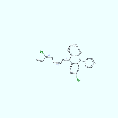 C=C\C(Br)=C/C=C\C=C(\c1ccccc1)c1ccc(Br)cc1C(=C)c1ccccc1